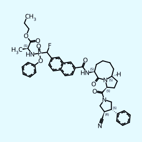 CCCOC(=O)[C@H](C)NP(=O)(Oc1ccccc1)C(F)c1ccc2ccc(C(=O)N[C@H]3CCCC[C@H]4CC[C@@H](C(=O)N5C[C@H](c6ccccc6)[C@@H](C#N)C5)N4C3=O)cc2c1